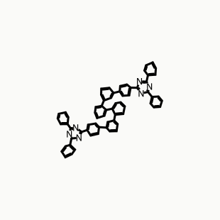 c1ccc(-c2nc(-c3ccccc3)nc(-c3ccc(-c4cccc(-c5ccccc5-c5ccccc5-c5cccc(-c6ccc(-c7nc(-c8ccccc8)nc(-c8ccccc8)n7)cc6)c5)c4)cc3)n2)cc1